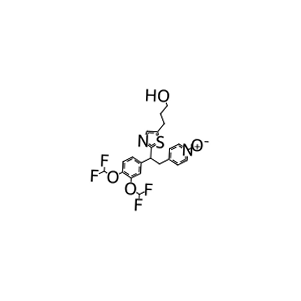 [O-][n+]1ccc(CC(c2ccc(OC(F)F)c(OC(F)F)c2)c2ncc(CCCO)s2)cc1